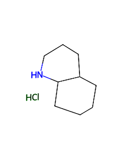 C1CCC2NCCCC2C1.Cl